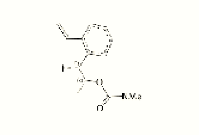 C=Cc1ccccc1[C@@H](I)[C@@H](C)OC(=O)NC